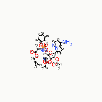 CCC(=O)O[C@H]1[C@H](c2ccc3c(N)ccnn23)O[C@](C#N)(COP(=O)(N[C@@H](C)C(=O)OCC2CC2)Oc2ccccc2)[C@H]1OC(=O)CC